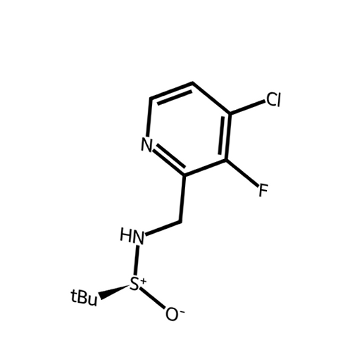 CC(C)(C)[S@+]([O-])NCc1nccc(Cl)c1F